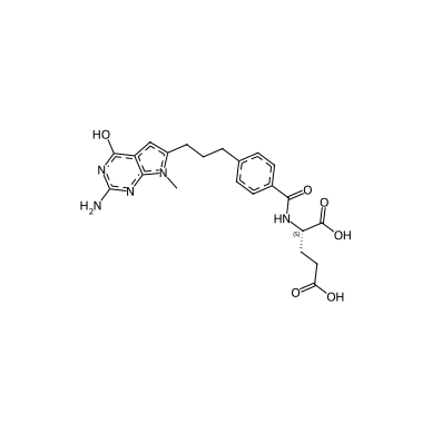 Cn1c(CCCc2ccc(C(=O)N[C@@H](CCC(=O)O)C(=O)O)cc2)cc2c(O)nc(N)nc21